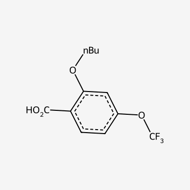 CCCCOc1cc(OC(F)(F)F)ccc1C(=O)O